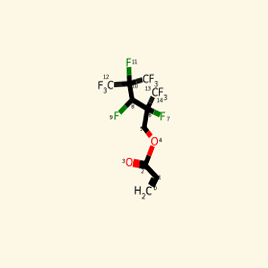 C=CC(=O)OCC(F)(C(F)C(F)(C(F)(F)F)C(F)(F)F)C(F)(F)F